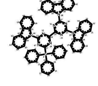 c1ccc(S(c2ccccc2)(c2ccccc2)c2nc(-c3nc(-n4c5ccccc5c5ccccc54)nc(-n4c5ccccc5c5ccccc54)n3)nc(-n3c4ccccc4c4ccccc43)n2)cc1